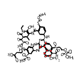 CCn1c(O)c(N=Nc2cc(Nc3nc(Nc4cc(NCCC(=O)O)c(S(=O)(=O)O)cc4N=Nc4ccc(S(=O)(=O)CCOS(=O)(=O)O)cc4SOOO)nc(-[n+]4cccc(C(N)=O)c4)n3)ccc2SOOO)c(C)c(C(=O)S(=O)O)c1=O